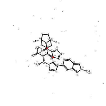 CC(=O)c1c([C@H]2C[C@H]3CC[C@@H](C2)N3C(=O)c2nnc[nH]2)nc2c(-c3ccc4cn(C)nc4c3)cnn2c1N